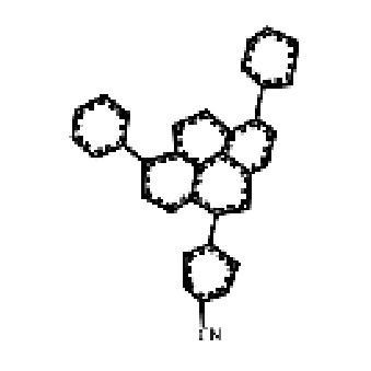 N#Cc1ccc(-c2cc3ccc(-c4ccccc4)c4ccc5c(-c6ccccc6)ccc2c5c34)cc1